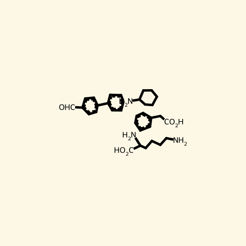 NC1CCCCC1.NCCCCC(N)C(=O)O.O=C(O)Cc1ccccc1.O=Cc1ccc(-c2ccccc2)cc1